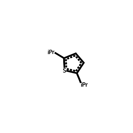 CC(C)c1ccc(C(C)C)s1